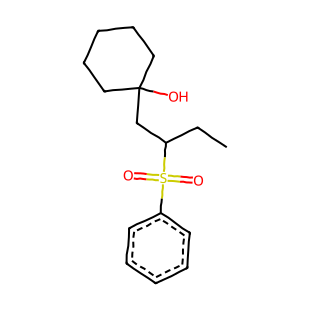 CCC(CC1(O)CCCCC1)S(=O)(=O)c1ccccc1